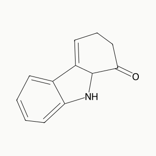 O=C1CCC=C2c3ccccc3NC12